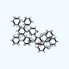 CC(C)(C)c1ccc2c(c1-c1nccc(-c3c(-c4ccccc4)c(-c4ccccc4)cc(-c4ccccc4)c3-c3ccccc3)n1)Oc1ccccc1C21c2ccccc2Oc2ccccc21